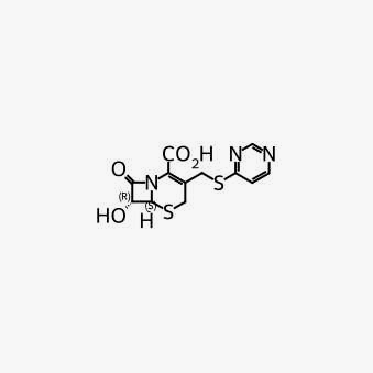 O=C(O)C1=C(CSc2ccncn2)CS[C@H]2[C@H](O)C(=O)N12